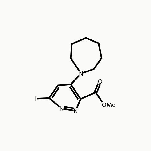 COC(=O)c1nnc(I)cc1N1CCCCCC1